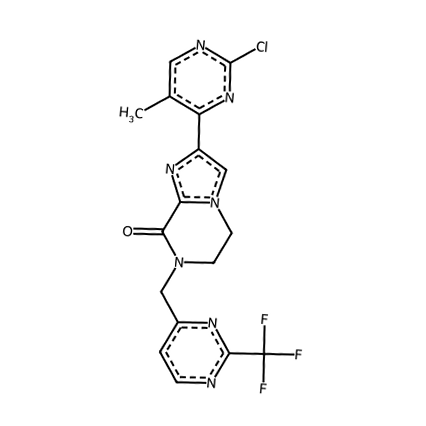 Cc1cnc(Cl)nc1-c1cn2c(n1)C(=O)N(Cc1ccnc(C(F)(F)F)n1)CC2